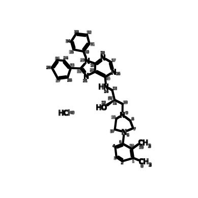 Cc1cccc(N2CCN(C[C@@H](O)CNc3ncnc4c3nc(-c3ccccc3)n4-c3ccccc3)CC2)c1C.Cl